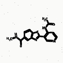 CNC(=O)c1ccc2sc(-c3cnccc3NC(C)=O)nc2c1